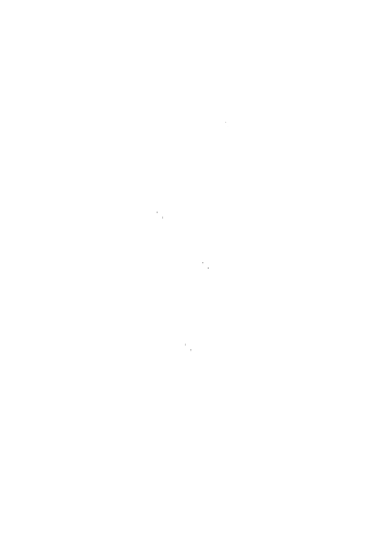 CCc1nc(CNc2ccc(C(C)=O)cc2N)co1